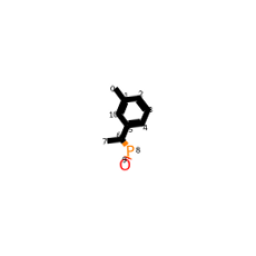 Cc1cccc(C(C)P=O)c1